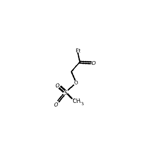 CCC(=O)COS(C)(=O)=O